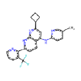 Cc1ccc(Nc2cc(C3CCC3)nc3nc(-c4ncccc4C(F)(F)F)ccc23)nc1